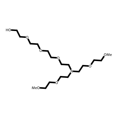 COCCOCCN(CCOCCOC)CCOCCOCCOCCO